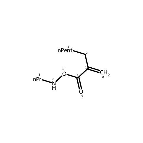 C=C(CCCCCC)C(=O)ONCCC